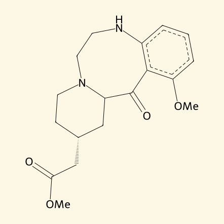 COC(=O)C[C@@H]1CCN2CCNc3cccc(OC)c3C(=O)C2C1